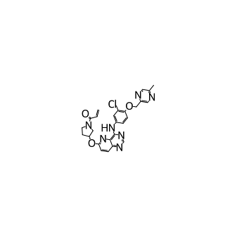 C=CC(=O)N1CC[C@H](Oc2ccc3ncnc(Nc4ccc(OCc5cnc(C)cn5)c(Cl)c4)c3n2)C1